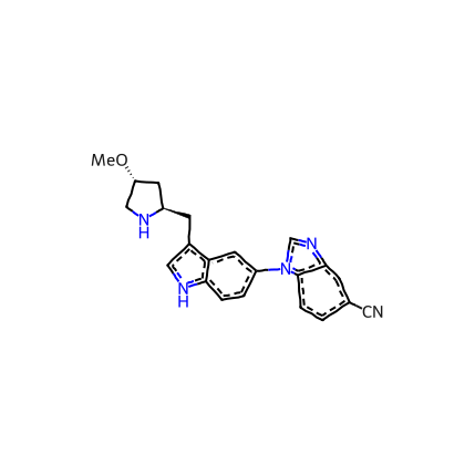 CO[C@H]1CN[C@H](Cc2c[nH]c3ccc(-n4cnc5cc(C#N)ccc54)cc23)C1